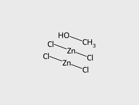 CO.[Cl][Zn][Cl].[Cl][Zn][Cl]